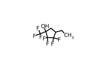 CCC1CC(O)(C(F)(F)F)C(F)(F)C1(F)F